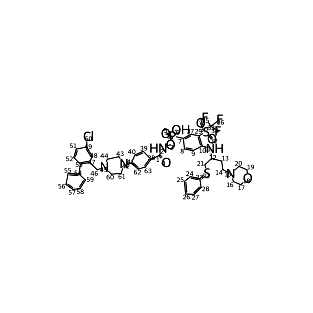 O=C(NOP(=O)(O)c1ccc(NC(CCN2CCOCC2)CSc2ccccc2)c(S(=O)(=O)C(F)(F)F)c1)c1ccc(N2CCN(Cc3cc(Cl)ccc3-c3ccccc3)CC2)cc1